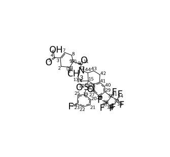 C[C@H]1CC(C(=O)O)=CC[C@H]1C(=O)N1CCC2(S(=O)(=O)c3cccc(F)c3)c3ccc(C(F)(C(F)(F)F)C(F)(F)F)cc3CCC12